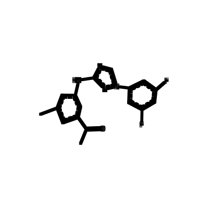 CC(=O)c1cc(C)cc(Nc2ncn(-c3cc(F)cc(F)c3)n2)c1